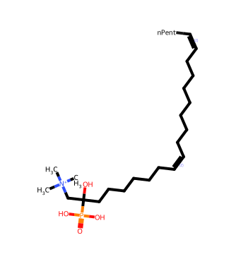 CCCCC/C=C\CCCCCCC/C=C\CCCCCCC(O)(C[N+](C)(C)C)P(=O)(O)O